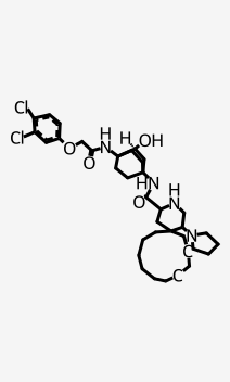 O=C(COc1ccc(Cl)c(Cl)c1)NC12CCC(NC(=O)C3CC4(CCCCCCCCCC4)C(N4CCCC4)CN3)(CC1)C[C@@H]2O